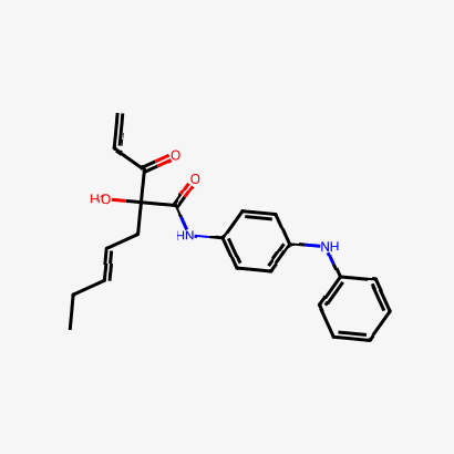 C=CC(=O)C(O)(CC=CCC)C(=O)Nc1ccc(Nc2ccccc2)cc1